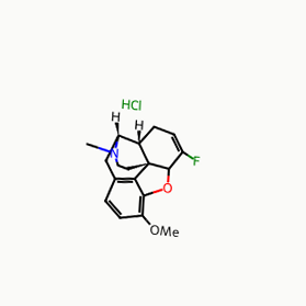 COc1ccc2c3c1OC1C(F)=CC[C@H]4[C@@H](C2)N(C)CC[C@]314.Cl